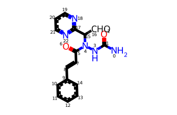 NC(=O)NN(C(=O)C=Cc1ccccc1)C([C]=O)c1ncccn1